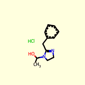 CC(O)N1CCN=C1Cc1ccccc1.Cl